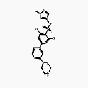 Cn1cc(NS(=O)(=O)c2c(Cl)cc(-c3ccnc(N4CCNCC4)c3)cc2Cl)cn1